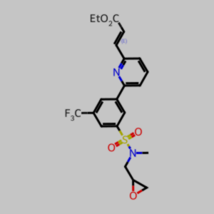 CCOC(=O)/C=C/c1cccc(-c2cc(C(F)(F)F)cc(S(=O)(=O)N(C)CC3CO3)c2)n1